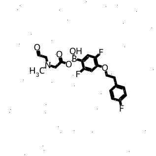 CN(CC=O)CC(=O)OB(O)c1cc(F)c(OCCc2ccc(F)cc2)cc1F